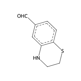 O=Cc1ccc2c(c1)NCCS2